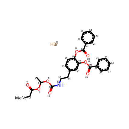 Br.CNCC(=O)OC(C)OC(=O)NCCc1ccc(OC(=O)c2ccccc2)c(OC(=O)c2ccccc2)c1